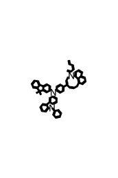 C=C/C=C\C(=C)N1C/C=C(c2ccc(N(c3ccc4c(c3)C(C)(C)c3ccccc3-4)c3ccc4c(c3)c3ccccc3n4-c3ccccc3)cc2)\C=C/Cc2cccc3cccc1c23